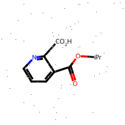 CC(C)OC(=O)c1cccnc1C(=O)O